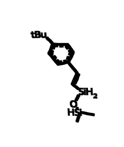 C[SiH](C)O[SiH2]C=Cc1ccc(C(C)(C)C)cc1